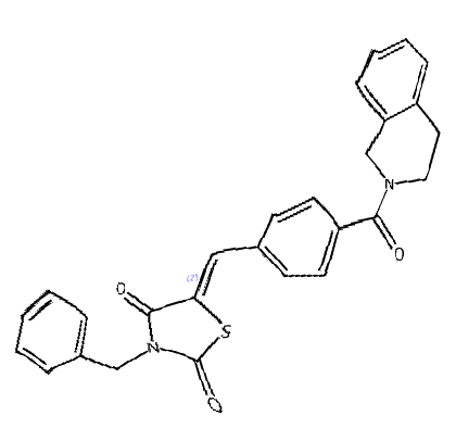 O=C(c1ccc(/C=C2\SC(=O)N(Cc3ccccc3)C2=O)cc1)N1CCc2ccccc2C1